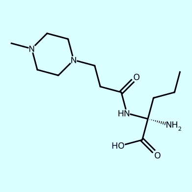 CCC[C@](N)(NC(=O)CCN1CCN(C)CC1)C(=O)O